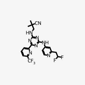 CC(C)(C#N)CNc1nc(Nc2ccnc(CC(F)F)c2)nc(-c2cccc(C(F)(F)F)n2)n1